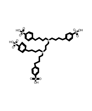 O=S(=O)(O)c1ccc(CCCCP(CCCCc2ccc(S(=O)(=O)O)cc2)CCCP(CCCCc2ccc(S(=O)(=O)O)cc2)CCCCc2ccc(S(=O)(=O)O)cc2)cc1